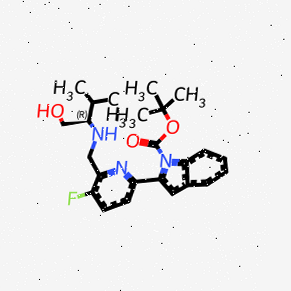 CC(C)[C@H](CO)NCc1nc(-c2cc3ccccc3n2C(=O)OC(C)(C)C)ccc1F